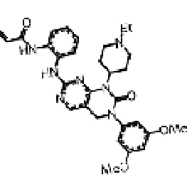 C=CC(=O)Nc1ccccc1Nc1ncc2c(n1)N(C1CCN(CC)CC1)C(=O)N(c1cc(OC)cc(OC)c1)C2